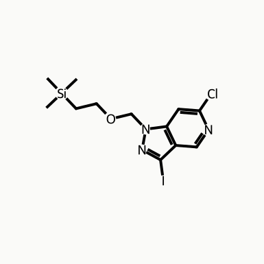 C[Si](C)(C)CCOCn1nc(I)c2cnc(Cl)cc21